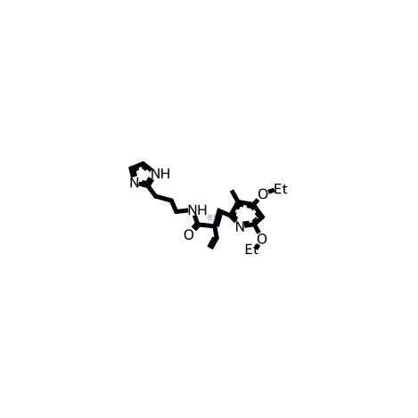 C=C/C(=C\c1nc(OCC)cc(OCC)c1C)C(=O)NCCCc1ncc[nH]1